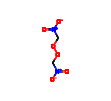 O=[N+]([O-])COOC[N+](=O)[O-]